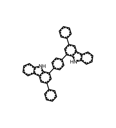 c1ccc(-c2cc(-c3ccc(-c4cc(-c5ccccc5)cc5c4[nH]c4ccccc45)cc3)c3[nH]c4ccccc4c3c2)cc1